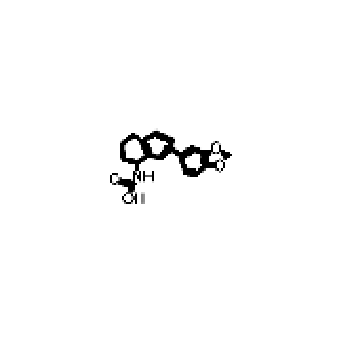 O=C(O)NC1CCCc2ccc(-c3ccc4c(c3)OCO4)cc21